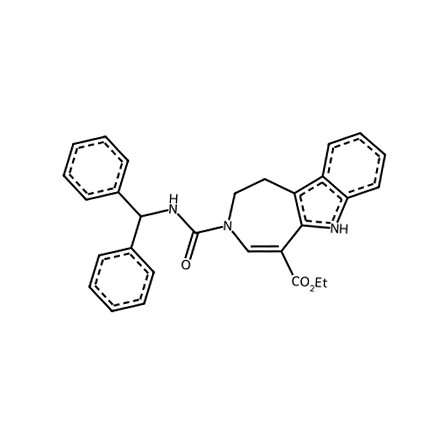 CCOC(=O)C1=CN(C(=O)NC(c2ccccc2)c2ccccc2)CCc2c1[nH]c1ccccc21